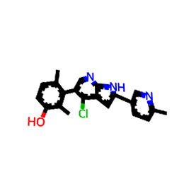 Cc1ccc(-c2cc3c(Cl)c(-c4c(C)ccc(O)c4C)cnc3[nH]2)cn1